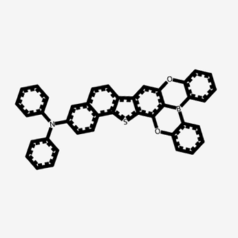 c1ccc(N(c2ccccc2)c2ccc3c(ccc4c5cc6c7c(c5sc34)Oc3ccccc3B7c3ccccc3O6)c2)cc1